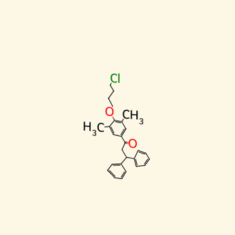 Cc1cc(C(=O)CC(c2ccccc2)c2ccccc2)cc(C)c1OCCCCCl